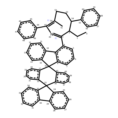 CCC1/C(c2cccc3c2-c2ccccc2C32c3ccccc3C3(c4ccccc4-c4ccccc43)c3ccccc32)=N\C(c2ccccc2)=C(/C)CCC1c1ccccc1